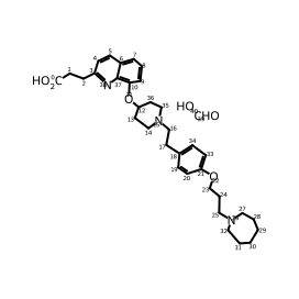 O=C(O)CCc1ccc2cccc(OC3CCN(CCc4ccc(OCCCN5CCCCCC5)cc4)CC3)c2n1.O=CO